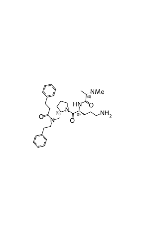 CN[C@@H](C)C(=O)N[C@@H](CCCN)C(=O)N1CCC[C@H]1CN(CCc1ccccc1)C(=O)CCc1ccccc1